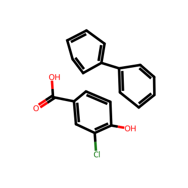 O=C(O)c1ccc(O)c(Cl)c1.c1ccc(-c2ccccc2)cc1